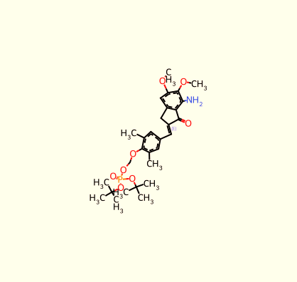 COc1cc2c(c(N)c1OC)C(=O)/C(=C/c1cc(C)c(OCOP(=O)(OC(C)(C)C)OC(C)(C)C)c(C)c1)C2